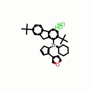 CC(C)(C)c1ccc2c(c1)Cc1c-2ccc(C(C)(C)C)[c]1[Zr]([C]1=C(c2ccoc2)C=CC1)=[C]1CCCCC1.Cl.Cl